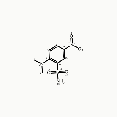 CN(C)c1ccc([N+](=O)[O-])cc1S(N)(=O)=O